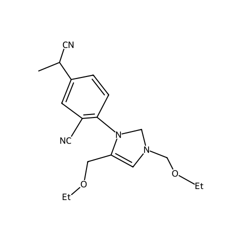 CCOCC1=CN(COCC)CN1c1ccc(C(C)C#N)cc1C#N